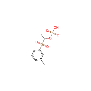 Cc1cccc(S(=O)(=O)C(C)OS(=O)(=O)O)c1